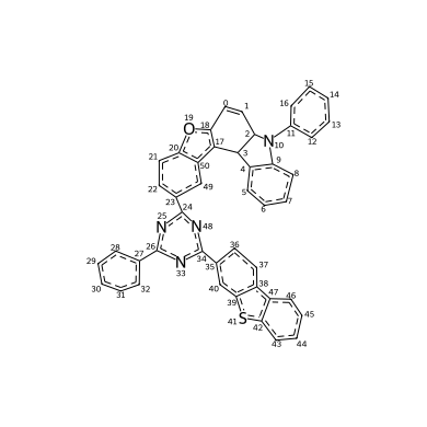 C1=CC2C(c3ccccc3N2c2ccccc2)c2c1oc1ccc(-c3nc(-c4ccccc4)nc(-c4ccc5c(c4)sc4ccccc45)n3)cc21